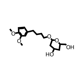 COc1ccc(CCCCOC2CC(O)CC(CO)O2)cc1OC